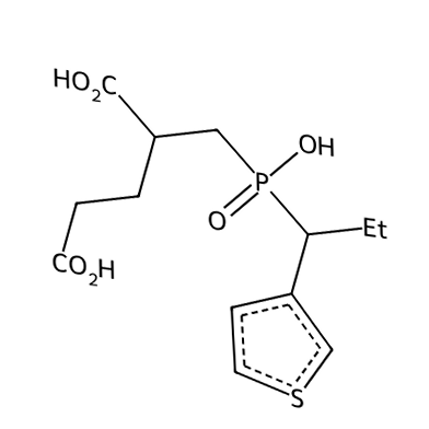 CCC(c1ccsc1)P(=O)(O)CC(CCC(=O)O)C(=O)O